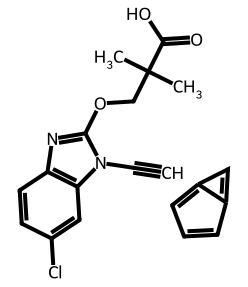 C#Cn1c(OCC(C)(C)C(=O)O)nc2ccc(Cl)cc21.c1cc2cc-2c1